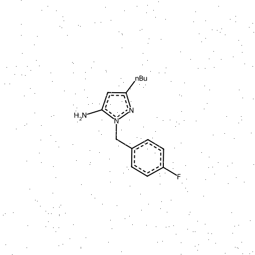 CCCCc1cc(N)n(Cc2ccc(F)cc2)n1